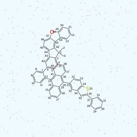 CC1(C)c2ccc(-c3ccccc3-c3c4ccccc4c(-c4ccc5sc(-c6ccccc6)cc5c4)c4ccccc34)cc2-c2ccc3oc4ccccc4c3c21